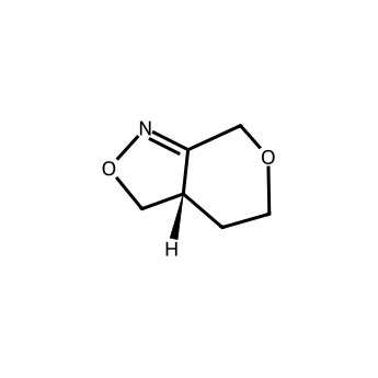 C1C[C@@H]2CON=C2CO1